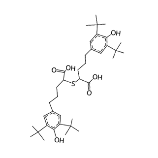 CC(C)(C)c1cc(CCCC(SC(CCCc2cc(C(C)(C)C)c(O)c(C(C)(C)C)c2)C(=O)O)C(=O)O)cc(C(C)(C)C)c1O